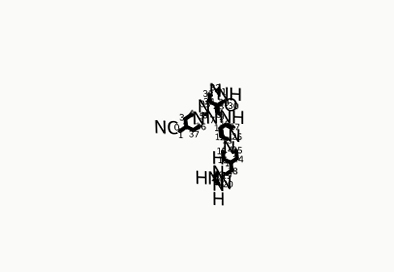 N#CCC1CCN(c2nc(Nc3ccc(N4CCC(CC5=NNNN5)CC4)nc3)c3c(=O)[nH]ncc3n2)CC1